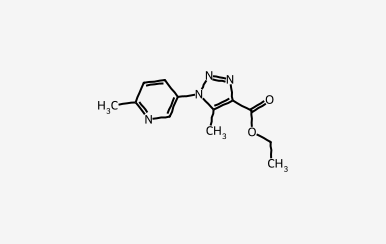 CCOC(=O)c1nnn(-c2ccc(C)nc2)c1C